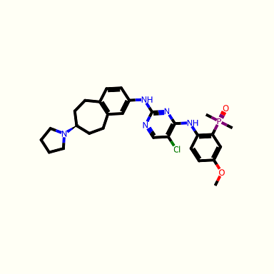 COc1ccc(Nc2nc(Nc3ccc4c(c3)CC[C@@H](N3CCCC3)CC4)ncc2Cl)c(P(C)(C)=O)c1